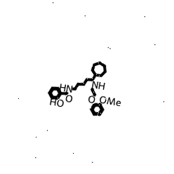 COc1ccccc1OCCNC(CCCCNC(=O)c1ccccc1O)C1CCCCCC1